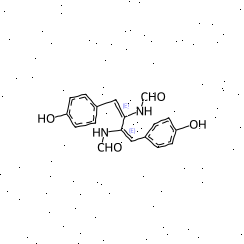 O=CNC(=C/c1ccc(O)cc1)/C(=C\c1ccc(O)cc1)NC=O